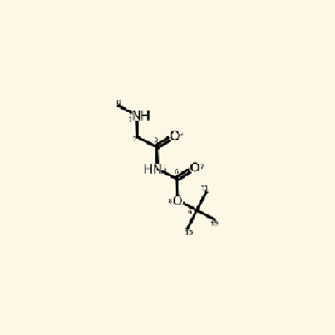 CNCC(=O)NC(=O)OC(C)(C)C